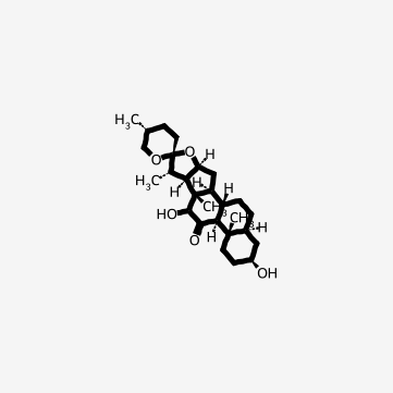 C[C@@H]1CC[C@@]2(OC1)O[C@H]1C[C@H]3[C@@H]4CC[C@H]5C[C@@H](O)CC[C@]5(C)[C@H]4C(=O)C(O)[C@]3(C)[C@H]1[C@@H]2C